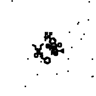 CCCN(CCC)C(=O)SCc1ccccc1.CS(=O)(=O)c1cc(C(F)(F)F)ccc1C(=O)c1cnoc1C1CC1